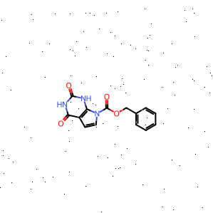 O=C(OCc1ccccc1)n1ccc2c(=O)[nH]c(=O)[nH]c21